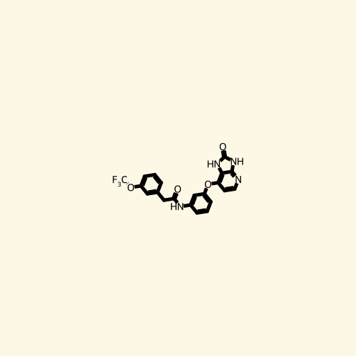 O=C(Cc1cccc(OC(F)(F)F)c1)Nc1cccc(Oc2ccnc3[nH]c(=O)[nH]c23)c1